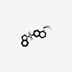 NC[C@@H]1CCCc2cc(S(=O)(=O)N3CCc4ccccc43)ccc21